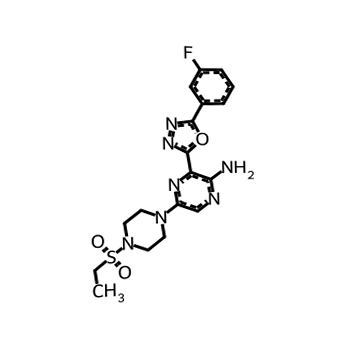 CCS(=O)(=O)N1CCN(c2cnc(N)c(-c3nnc(-c4cccc(F)c4)o3)n2)CC1